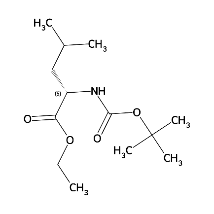 CCOC(=O)[C@H](CC(C)C)NC(=O)OC(C)(C)C